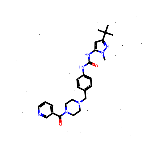 Cn1nc(C(C)(C)C)cc1NC(=O)Nc1ccc(CN2CCN(C(=O)c3cccnc3)CC2)cc1